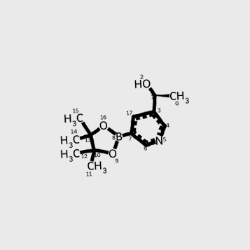 C[C@H](O)c1cncc(B2OC(C)(C)C(C)(C)O2)c1